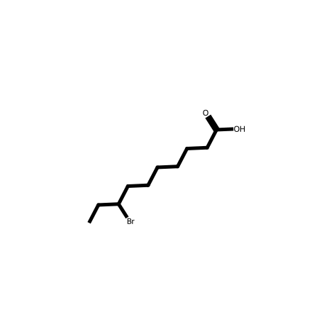 CCC(Br)CCCCCCC(=O)O